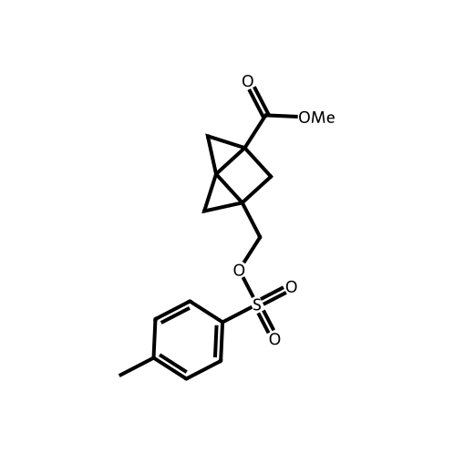 COC(=O)C12CC3(COS(=O)(=O)c4ccc(C)cc4)CC31C2